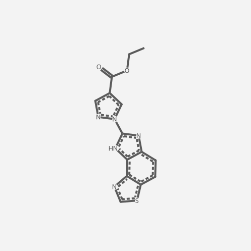 CCOC(=O)c1cnn(-c2nc3ccc4scnc4c3[nH]2)c1